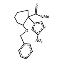 CNC(=S)C1(n2cnc([N+](=O)[O-])c2)CCCCC1OCc1ccccc1